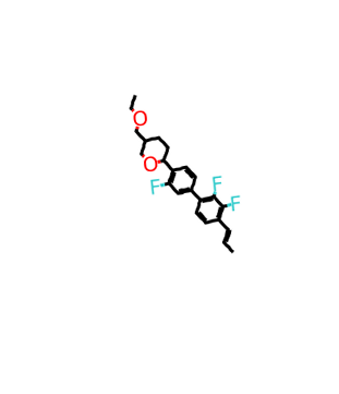 C/C=C/c1ccc(-c2ccc(C3CCC(COCC)CO3)c(F)c2)c(F)c1F